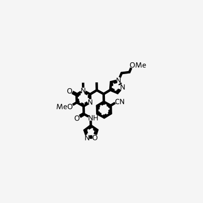 COCCn1cc(C(c2ccccc2C#N)C(C)c2nc(C(=O)Nc3cnoc3)c(OC)c(=O)n2C)cn1